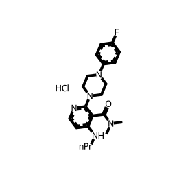 CCCNc1ccnc(N2CCN(c3ccc(F)cc3)CC2)c1C(=O)N(C)C.Cl